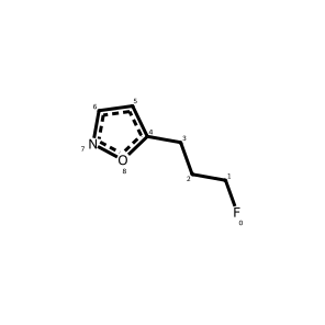 FCCCc1ccno1